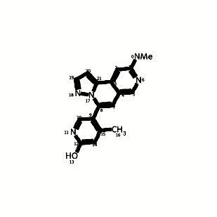 CNc1cc2c(cn1)cc(-c1cnc(O)cc1C)n1nccc21